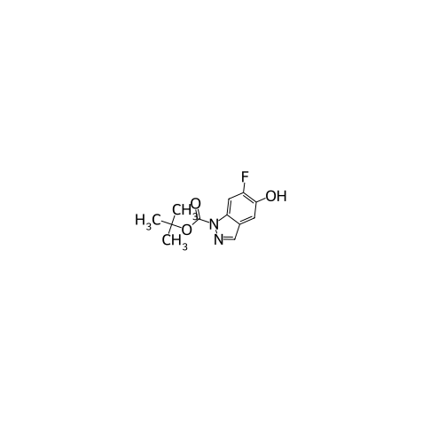 CC(C)(C)OC(=O)n1ncc2cc(O)c(F)cc21